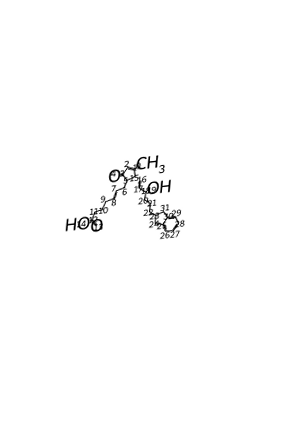 CC1=CC(=O)[C@H](CC=CCCCC(=O)O)[C@H]1C=CC(O)CCCC1Cc2ccccc2C1